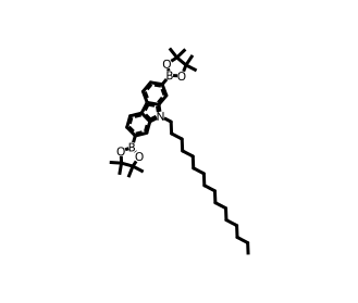 CCCCCCCCCCCCCCCCn1c2cc(B3OC(C)(C)C(C)(C)O3)ccc2c2ccc(B3OC(C)(C)C(C)(C)O3)cc21